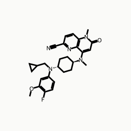 COc1cc(N(CC2CC2)[C@H]2CC[C@H](N(C)c3cc(=O)n(C)c4ccc(C#N)nc34)CC2)ccc1F